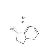 [Br-].[Cl-].[Hf+2][CH]1CCC2CC=CC=C12